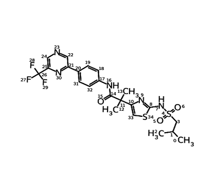 CC(C)CS(=O)(=O)Nc1nc(C(C)(C)C(=O)Nc2ccc(-c3cncc(C(F)(F)F)n3)cc2)cs1